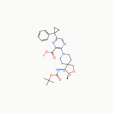 COC(=O)c1nc(C2(c3ccccc3)CC2)cnc1N1CCC2(CC1)CO[C@@H](C)[C@H]2NC(=O)OC(C)(C)C